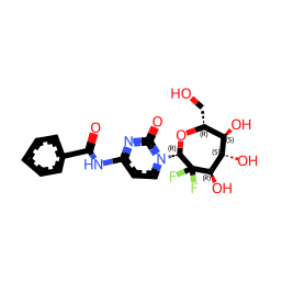 O=C(Nc1ccn([C@@H]2O[C@H](CO)[C@@H](O)[C@H](O)[C@@H](O)C2(F)F)c(=O)n1)c1ccccc1